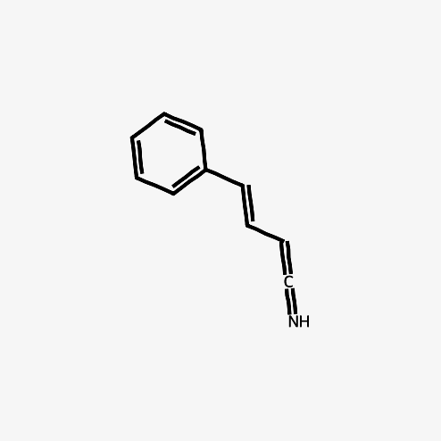 N=C=CC=Cc1ccccc1